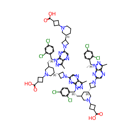 Cc1nn([C@H](C)c2ccc(Cl)cc2Cl)c2nc(N3CC([C@H]4CC(C[C@H](c5ccc(Cl)cc5Cl)n5nc(C)c6ncc(N7CC([C@H]8CC(C[C@H](c9ccc(Cl)cc9Cl)n9nc(C)c%10ncc(N%11CC([C@@H]%12CCCN(C%13CC(C(=O)O)C%13)C%12)C%11)nc%109)CN(C9CC(C(=O)O)C9)C8)C7)nc65)CN(C5CC(C(=O)O)C5)C4)C3)cnc12